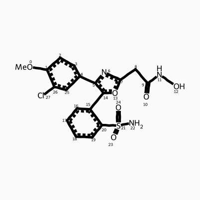 COc1ccc(-c2nc(CC(=O)NO)oc2-c2ccccc2S(N)(=O)=O)cc1Cl